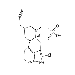 CN1CC(CC#N)CC2c3cccc4[nH]c(Cl)c(c34)C[C@H]21.CS(=O)(=O)O